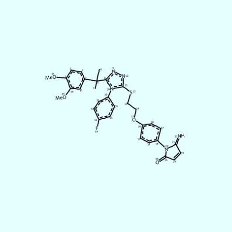 COc1ccc(C(C)(C)c2nnc(SCCOc3ccc(N4C(=N)C=CC4=O)cc3)n2-c2ccc(F)cc2)cc1OC